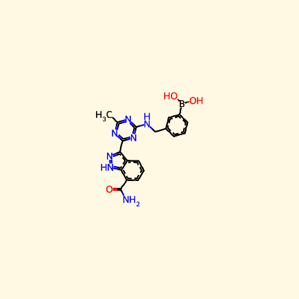 Cc1nc(NCc2cccc(B(O)O)c2)nc(-c2n[nH]c3c(C(N)=O)cccc23)n1